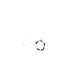 CCOC=O.Clc1cccnc1